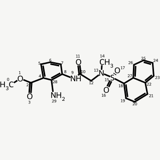 COC(=O)c1cccc(NC(=O)CN(C)S(=O)(=O)c2cccc3ccccc23)c1N